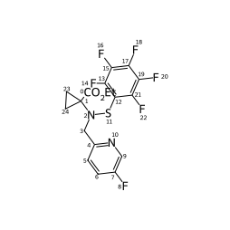 CCOC(=O)C1(N(Cc2ccc(F)cn2)Sc2c(F)c(F)c(F)c(F)c2F)CC1